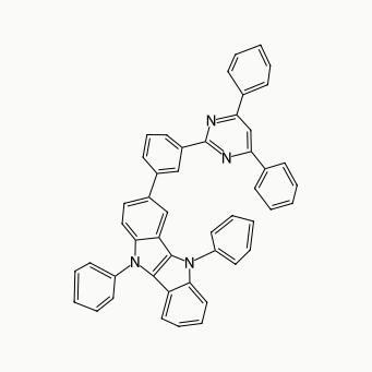 c1ccc(-c2cc(-c3ccccc3)nc(-c3cccc(-c4ccc5c(c4)c4c(c6ccccc6n4-c4ccccc4)n5-c4ccccc4)c3)n2)cc1